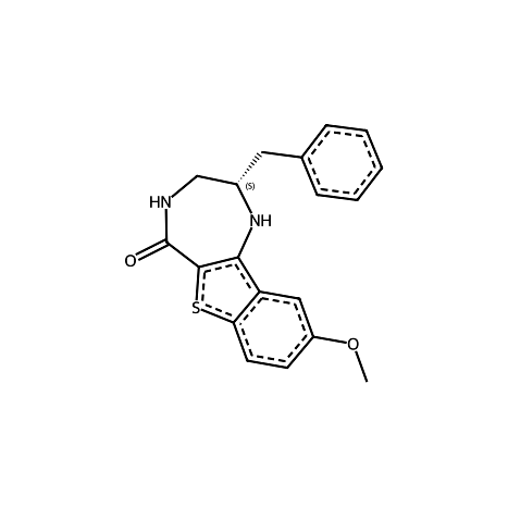 COc1ccc2sc3c(c2c1)N[C@@H](Cc1ccccc1)CNC3=O